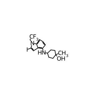 CC1(O)CCC(Nc2cccc3c2cc(I)n3CC(F)(F)F)CC1